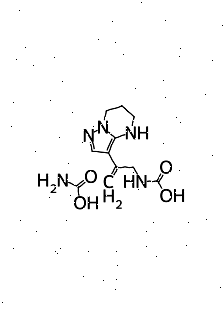 C=C(CNC(=O)O)c1cnn2c1NCCC2.NC(=O)O